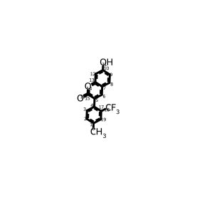 Cc1ccc(-c2cc3ccc(O)cc3oc2=O)c(C(F)(F)F)c1